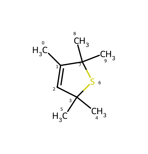 CC1=CC(C)(C)SC1(C)C